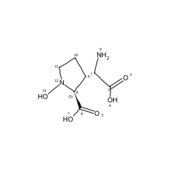 NCC(=O)O.O=C(O)[C@@H]1CCCN1O